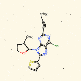 CCCCCCC#Cc1nc(Cl)c2nc(-c3cccs3)n(C3OCCC3OC(C)=O)c2n1